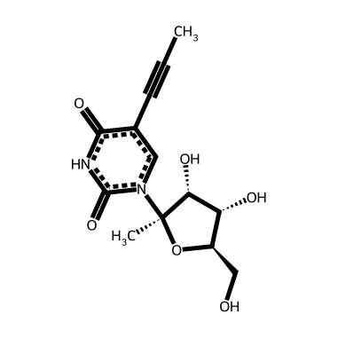 CC#Cc1cn([C@]2(C)O[C@H](CO)[C@@H](O)[C@H]2O)c(=O)[nH]c1=O